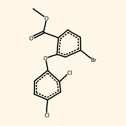 COC(=O)c1ccc(Br)cc1Oc1ccc(Cl)cc1Cl